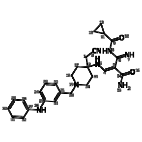 N#CCC1(N/C=C(\C(=N)NC(=O)C2CC2)C(N)=O)CCN(Cc2cccc(Nc3ccccc3)c2)CC1